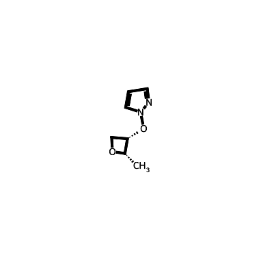 C[C@@H]1OC[C@@H]1On1cccn1